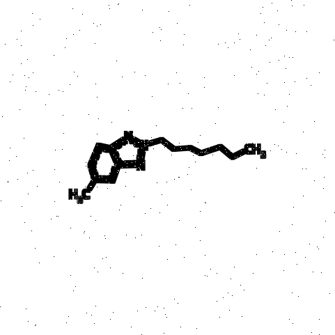 CCCCCCCn1nc2ccc(C)cc2n1